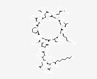 CCCCCCCC(=O)N[C@H](CC(=O)O)C(=O)N[C@@H](CCC(N)=O)[C@@H](O)[C@@H](O)C(=O)N[C@@H]1C(=O)N([C@H]2C(=O)NC([C@@H](C)O)C(=O)N[C@H](CCCCN)C(=O)N[C@@H](CC(C)C)C(=O)N(C)[C@@H](CCC(N)=O)C(=O)N[C@@H]([C@H](OCC)C(N)=O)C(=O)N[C@H](CC(=O)O)C(=O)N3CCCC[C@H]3C(=O)O[C@@H]2C)[C@@H](C(N)=O)[C@@H]1C